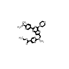 CCOC(=O)c1cnc(N(C)Cc2cc3nc(-c4ccc(N(C)C)nc4)nc(N4CCOCC4)c3s2)nc1